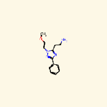 COCCn1nc(-c2ccccc2)nc1CCN